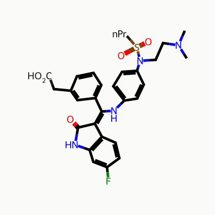 CCCS(=O)(=O)N(CCN(C)C)c1ccc(NC(=C2C(=O)Nc3cc(F)ccc32)c2cccc(CC(=O)O)c2)cc1